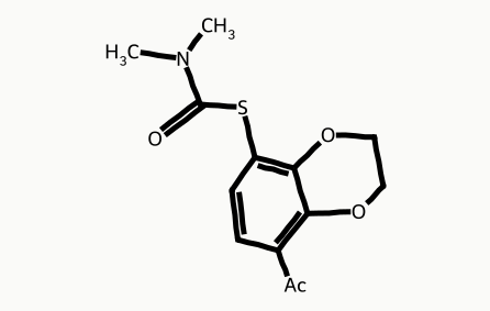 CC(=O)c1ccc(SC(=O)N(C)C)c2c1OCCO2